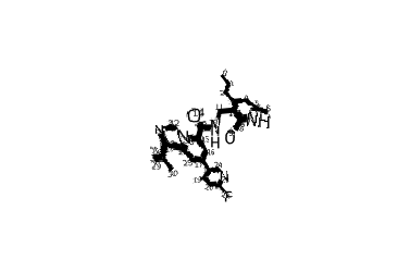 CCCc1cc(C)[nH]c(=O)c1CNC(=O)c1cc(-c2ccc(F)nc2)cc2c(C(C)C)ncn12